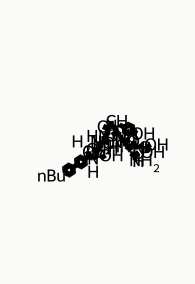 CCCCc1ccc(-c2ccc(C(=O)N[C@H](CO)C(=O)N[C@H](N)C(=O)NCC(=O)N(C)[C@@H](Cc3ccc(O)cc3)C(=O)N[C@@H](N)C(=O)N[C@@H](CC(N)=O)C(=O)NCB(O)O)cc2)cc1